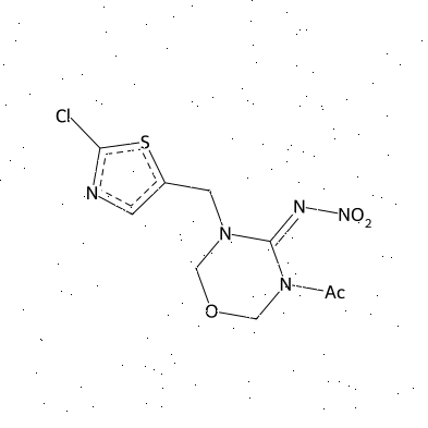 CC(=O)N1COCN(Cc2cnc(Cl)s2)C1=N[N+](=O)[O-]